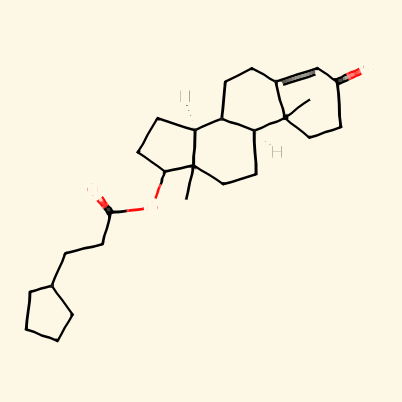 CC12CCC(=O)C=C1CCC1[C@@H]2CCC2(C)C(OC(=O)CCC3CCCC3)CC[C@@H]12